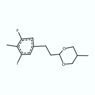 Cc1c(F)cc(CCC2OCC(C)CO2)cc1I